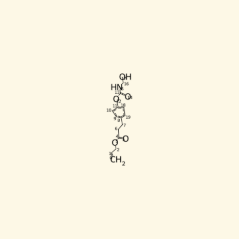 C=CCOC(=O)CCc1ccc(OC(=O)NCO)cc1